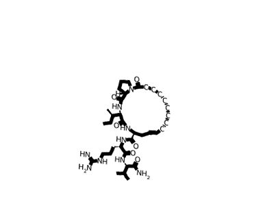 CC[C@@H](C)[C@@H]1NC(=O)[C@@H]2CCCN2C(=O)CCCCCCCC/C=C/C[C@@H](C(=O)N[C@@H](CCCNC(=N)N)C(=O)N[C@H](C(N)=O)C(C)C)NC1=O